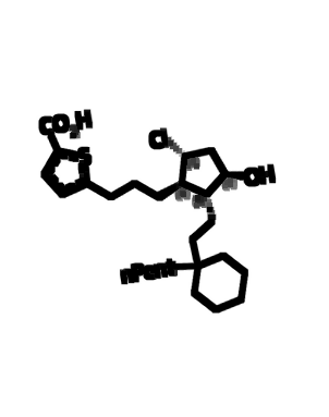 CCCCCC1(CC[C@@H]2[C@@H](CCCc3ccc(C(=O)O)s3)[C@H](Cl)C[C@H]2O)CCCCC1